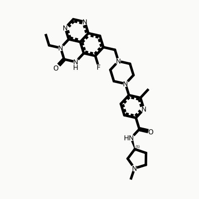 CCN1C(=O)Nc2c(F)c(CN3CCN(c4ccc(C(=O)N[C@H]5CCN(C)C5)nc4C)CC3)cc3ncnc1c23